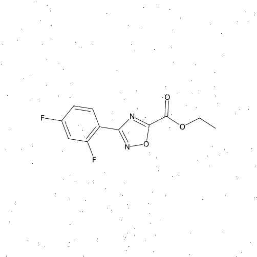 CCOC(=O)c1nc(-c2ccc(F)cc2F)no1